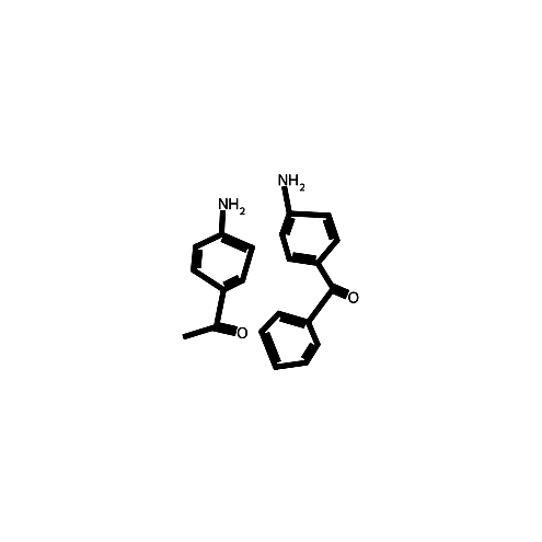 CC(=O)c1ccc(N)cc1.Nc1ccc(C(=O)c2ccccc2)cc1